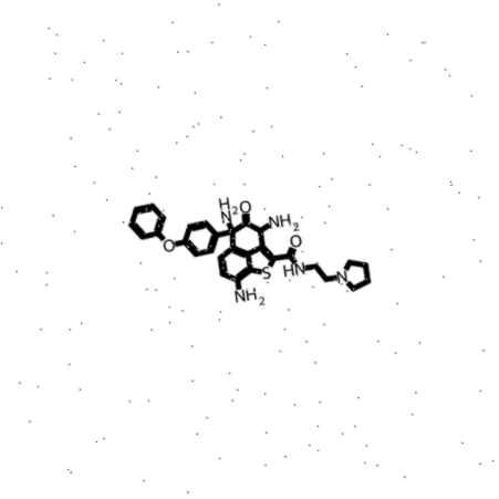 Nc1ccc2c3c(c(C(=O)NCCN4CCCC4)sc13)C(N)C(=O)C2(N)c1ccc(Oc2ccccc2)cc1